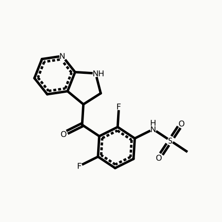 CS(=O)(=O)Nc1ccc(F)c(C(=O)C2CNc3ncccc32)c1F